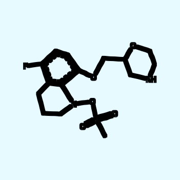 CS(=O)(=O)ON1CCCc2c(F)ccc(OCC3CNCCO3)c21